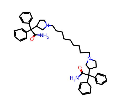 NC(=O)C(c1ccccc1)(c1ccccc1)C1CCN(CCCCCCCCCN2CCC(C(C(N)=O)(c3ccccc3)C3C=CC=CC3)C2)C1